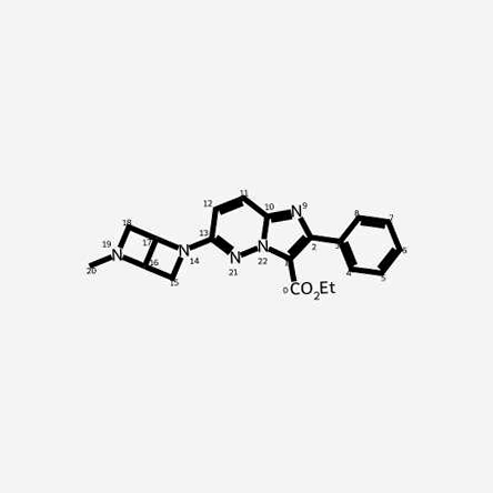 CCOC(=O)c1c(-c2ccccc2)nc2ccc(N3CC4C3CN4C)nn12